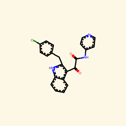 O=C(Nc1ccncc1)C(=O)c1c(Cc2ccc(Cl)cc2)[nH]c2ccccc12